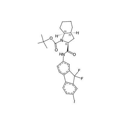 CC(C)(C)OC(=O)N1[C@H](C(=O)Nc2ccc3c(c2)C(F)(F)c2cc(I)ccc2-3)C[C@@H]2CCCC[C@@H]21